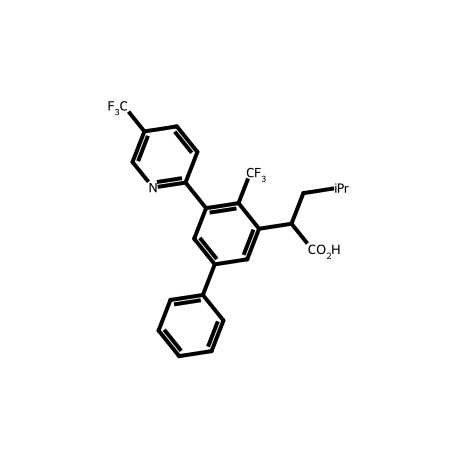 CC(C)CC(C(=O)O)c1cc(-c2ccccc2)cc(-c2ccc(C(F)(F)F)cn2)c1C(F)(F)F